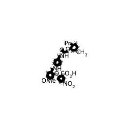 COc1cccc(CNc2ccc(CNC(=O)COC3CC(C)CCC3C(C)C)cc2)c1Oc1ccc([N+](=O)[O-])cc1C(=O)O